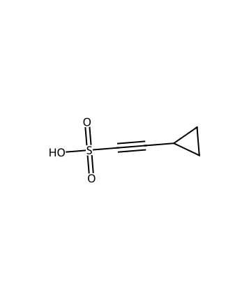 O=S(=O)(O)C#CC1CC1